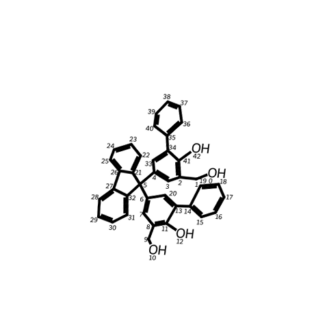 OCc1cc(C2(c3cc(CO)c(O)c(-c4ccccc4)c3)c3ccccc3-c3ccccc32)cc(-c2ccccc2)c1O